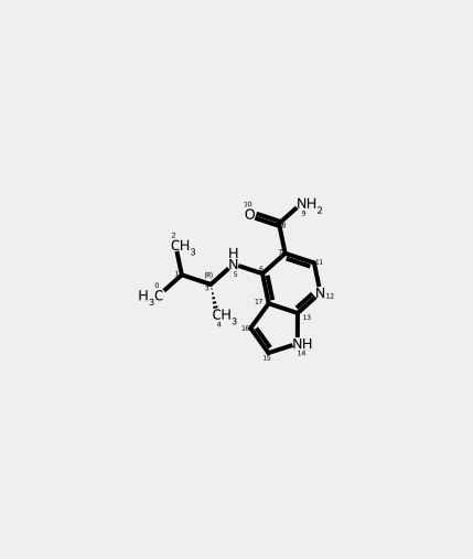 CC(C)[C@@H](C)Nc1c(C(N)=O)cnc2[nH]ccc12